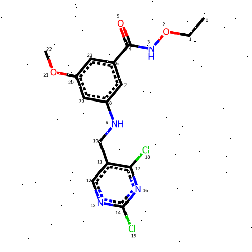 CCONC(=O)c1cc(NCc2cnc(Cl)nc2Cl)cc(OC)c1